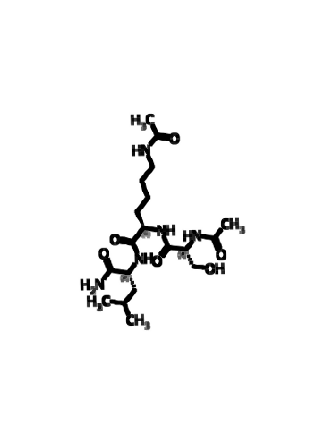 CC(=O)NCCCC[C@@H](NC(=O)[C@@H](CO)NC(C)=O)C(=O)N[C@H](CC(C)C)C(N)=O